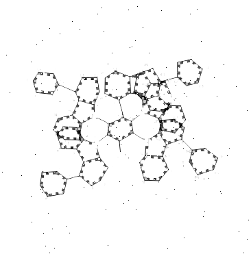 N#Cc1c(-n2c3ccccc3c3c(-c4ccccc4)cccc32)c(-n2c3ccccc3c3c(-c4ccccc4)cccc32)c(-c2cccc3sc4cnccc4c23)c(-n2c3ccccc3c3c(-c4ccccc4)cccc32)c1-n1c2ccccc2c2c(-c3ccccc3)cccc21